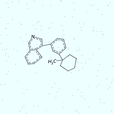 CC1(c2cccc(-c3cncc4ccccc34)c2)CCCCC1